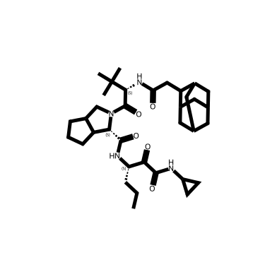 CCC[C@H](NC(=O)[C@@H]1C2CCCC2CN1C(=O)[C@@H](NC(=O)CC1C2CC3CC(C2)CC1C3)C(C)(C)C)C(=O)C(=O)NC1CC1